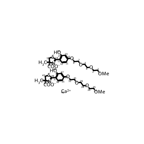 COCCOCCOCCOc1ccc(C2=N[C@@](C)(C(=O)[O-])CS2)c(O)c1.COCCOCCOCCOc1ccc(C2=N[C@@](C)(C(=O)[O-])CS2)c(O)c1.[Ca+2]